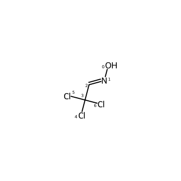 ON=CC(Cl)(Cl)Cl